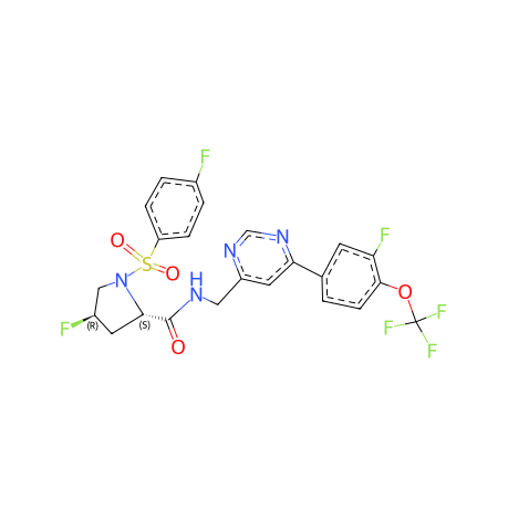 O=C(NCc1cc(-c2ccc(OC(F)(F)F)c(F)c2)ncn1)[C@@H]1C[C@@H](F)CN1S(=O)(=O)c1ccc(F)cc1